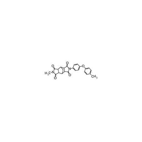 Cc1ccc(Oc2ccc(N3C(=O)C4C5CCC(C6C(=O)N(C)C(=O)C56)C4C3=O)cc2)cc1